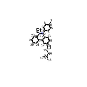 CC/C(=C(\c1ccc(C)cc1)c1ccc(OCCN(C)C)cc1)c1ccccc1